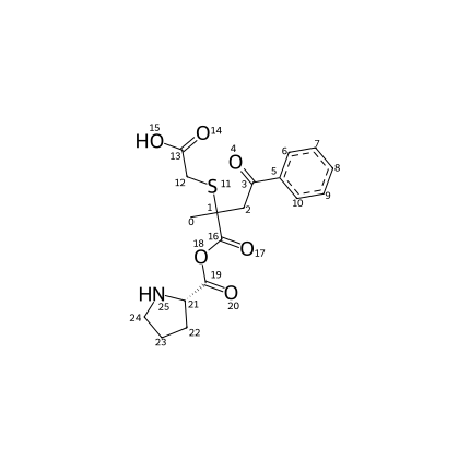 CC(CC(=O)c1ccccc1)(SCC(=O)O)C(=O)OC(=O)[C@@H]1CCCN1